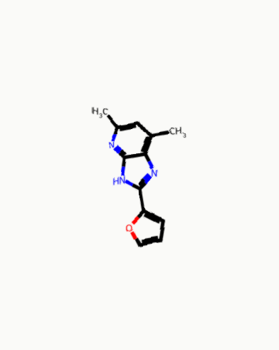 Cc1cc(C)c2nc(-c3ccco3)[nH]c2n1